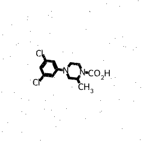 CC1CN(c2cc(Cl)cc(Cl)c2)CCN1C(=O)O